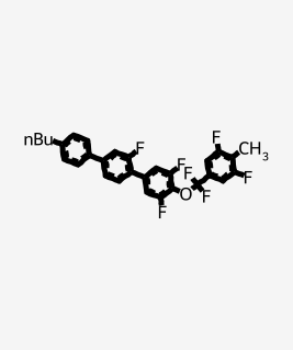 CCCCc1ccc(-c2ccc(-c3cc(F)c(OC(F)(F)c4cc(F)c(C)c(F)c4)c(F)c3)c(F)c2)cc1